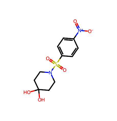 O=[N+]([O-])c1ccc(S(=O)(=O)N2CCC(O)(O)CC2)cc1